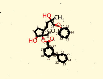 CC(O)(C=CC1CCC(O)C1(CC(=O)O)OC(=O)c1cccc(-c2ccccc2)c1)COc1ccccc1